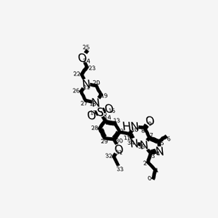 CCCc1nc(C)c2c(=O)[nH]c(-c3cc(S(=O)(=O)N4CCN(CCOC)CC4)ccc3OCC)nn12